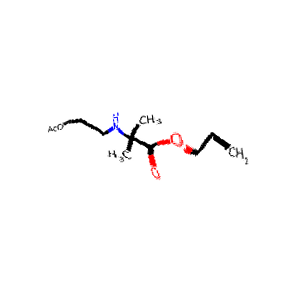 C=CCOC(=O)C(C)(C)NCCOC(C)=O